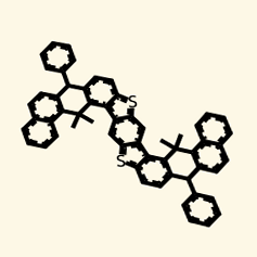 CC1(C)c2c(ccc3ccccc23)C(c2ccccc2)c2ccc3sc4cc5c(cc4c3c21)sc1ccc2c(c15)C(C)(C)c1c(ccc3ccccc13)C2c1ccccc1